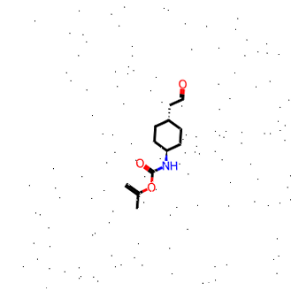 C=C(C)OC(=O)N[C@H]1CC[C@H](CC=O)CC1